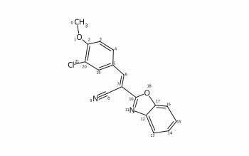 COc1ccc(C=C(C#N)c2nc3ccccc3o2)cc1Cl